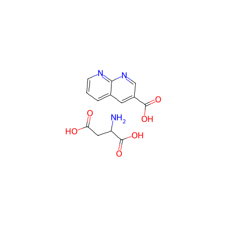 NC(CC(=O)O)C(=O)O.O=C(O)c1cnc2ncccc2c1